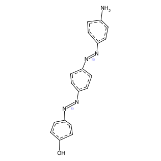 Nc1ccc(/N=N/c2ccc(/N=N/c3ccc(O)cc3)cc2)cc1